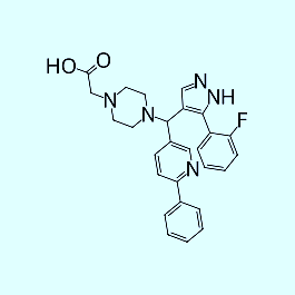 O=C(O)CN1CCN(C(c2ccc(-c3ccccc3)nc2)c2cn[nH]c2-c2ccccc2F)CC1